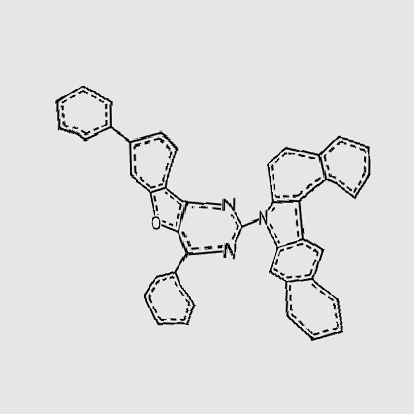 c1ccc(-c2ccc3c(c2)oc2c(-c4ccccc4)nc(-n4c5cc6ccccc6cc5c5c6ccccc6ccc54)nc23)cc1